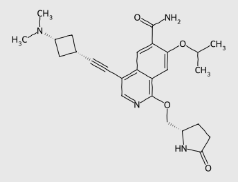 CC(C)Oc1cc2c(OC[C@@H]3CCC(=O)N3)ncc(C#C[C@H]3C[C@@H](N(C)C)C3)c2cc1C(N)=O